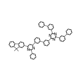 CC1(C)c2ccccc2-c2ccc(-c3cc(-c4cccc(-c5cccc(-c6nc(-c7cccc(-c8ccccc8)c7)nc(-c7cccc(-c8ccccc8)c7)n6)c5)c4)nc(-c4ccccc4)n3)cc21